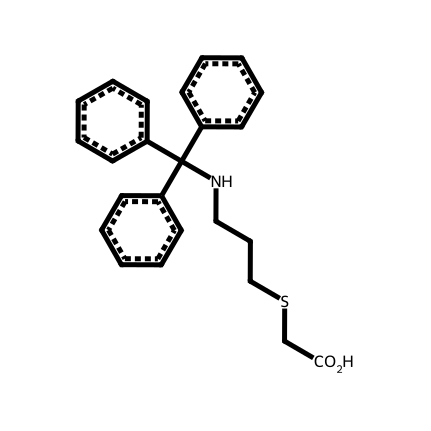 O=C(O)CSCCCNC(c1ccccc1)(c1ccccc1)c1ccccc1